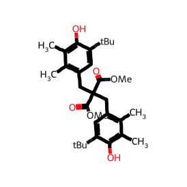 COC(=O)C(Cc1cc(C(C)(C)C)c(O)c(C)c1C)(Cc1cc(C(C)(C)C)c(O)c(C)c1C)C(=O)OC